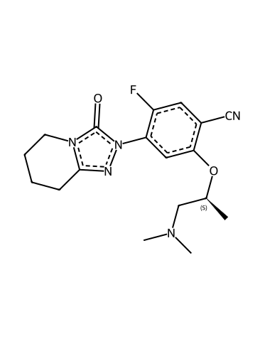 C[C@@H](CN(C)C)Oc1cc(-n2nc3n(c2=O)CCCC3)c(F)cc1C#N